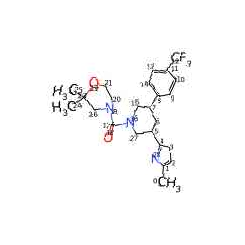 CC1=CCC(C2CC(c3ccc(C(F)(F)F)cc3)CN(C(=O)N3CCOC(C)(C)C3)C2)=N1